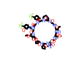 CCO[C@@H]1C[C@H]2C(=O)OC3(CCC3)C(=O)N(C)[C@@H](C3CCCC3)C(=O)N(C)[C@H](C(=O)N(C)C)CC(=O)N(C)[C@@H]([C@@H](C)OC)C(=O)N[C@@H]([C@@H](C)CC)C(=O)N(C)CC(=O)N(C)[C@H]3C/C=C\CCN(C3=O)[C@@H](Cc3ccc(C(F)(F)F)cc3)C(=O)N(C)CC(=O)N[C@@H](CCc3ccc(C(F)(F)F)c(OC)c3)C(=O)N2C1